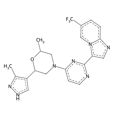 Cc1n[nH]cc1C1CN(c2ccnc(-c3cnc4ccc(C(F)(F)F)cn34)n2)CC(C)O1